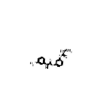 CNC(=O)Oc1cccc(OC(=O)Nc2cccc(C)c2)c1